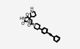 O=C1NC(=O)C(CC(=O)N2CCC(c3ccc(C#Cc4ccccc4)cc3)CC2)(C2CCCNC2)N1